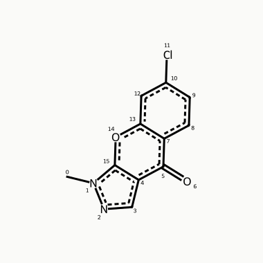 Cn1ncc2c(=O)c3ccc(Cl)cc3oc21